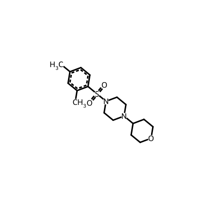 Cc1ccc(S(=O)(=O)N2CCN(C3CCOCC3)CC2)c(C)c1